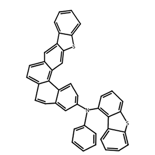 c1ccc(N(c2ccc3c(ccc4ccc5cc6c(cc5c43)sc3ccccc36)c2)c2cccc3sc4ccccc4c23)cc1